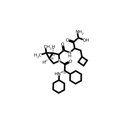 CC1(C)[C@@H]2CN(C(=O)[C@@H](NC3CCCCC3)C3CCCCC3)C(C(=O)NC(CC3CCC3)C(=O)C(N)O)[C@@H]21